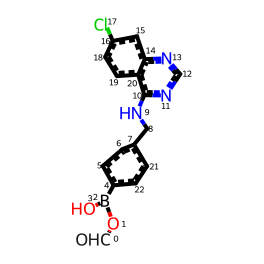 O=COB(O)c1ccc(CNc2ncnc3cc(Cl)ccc23)cc1